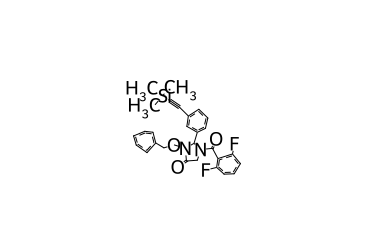 C[Si](C)(C)C#Cc1cccc(C2N(C(=O)c3c(F)cccc3F)CC(=O)N2OCc2ccccc2)c1